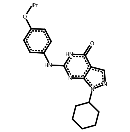 CC(C)Oc1ccc(Nc2nc3c(cnn3C3CCCCC3)c(=O)[nH]2)cc1